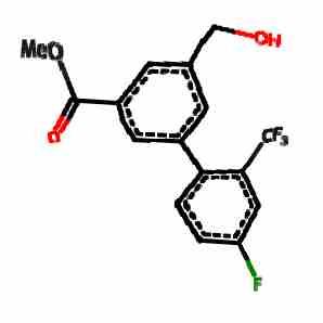 COC(=O)c1cc(CO)cc(-c2ccc(F)cc2C(F)(F)F)c1